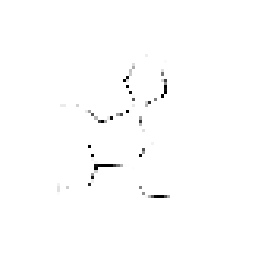 CC[SiH](O[Si](CC)(CC)CC)C(C)C